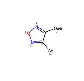 COc1nonc1C(C)=O